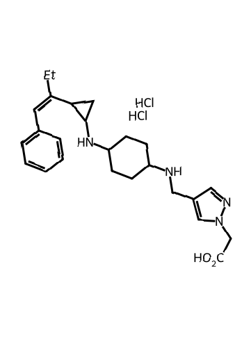 CCC(=Cc1ccccc1)C1CC1NC1CCC(NCc2cnn(CC(=O)O)c2)CC1.Cl.Cl